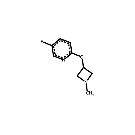 CN1CC(Oc2ccc(F)cn2)C1